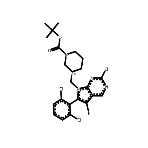 CC(C)(C)OC(=O)N1CCC[C@@H](Cn2c(-c3c(Cl)cccc3Cl)c(F)c3cnc(Cl)nc32)C1